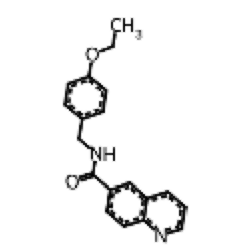 CCOc1ccc(CNC(=O)c2ccc3ncccc3c2)cc1